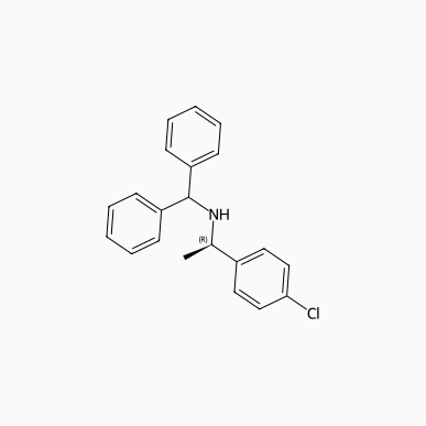 C[C@@H](NC(c1ccccc1)c1ccccc1)c1ccc(Cl)cc1